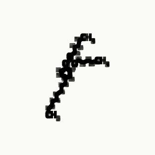 CCCCCCCCCc1ccc(OP(OCCCCC)OCCCCC)cc1